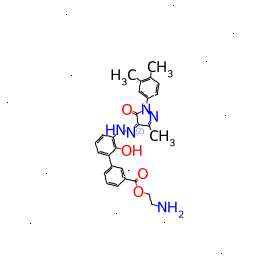 CC1=NN(c2ccc(C)c(C)c2)C(=O)/C1=N\Nc1cccc(-c2cccc(C(=O)OCCN)c2)c1O